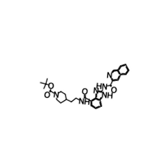 CC(C)(C)OC(=O)N1CCC(CCNC(=O)c2cccc3[nH]c(NC(=O)c4cc5ccccc5cn4)nc23)CC1